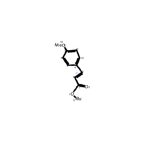 CCC(C)OC(=O)/C=C/c1ccc(OC)cc1